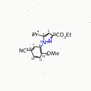 CCOC(=O)c1cc(C(C)C)n(-c2cc(C#N)ccc2OC)n1